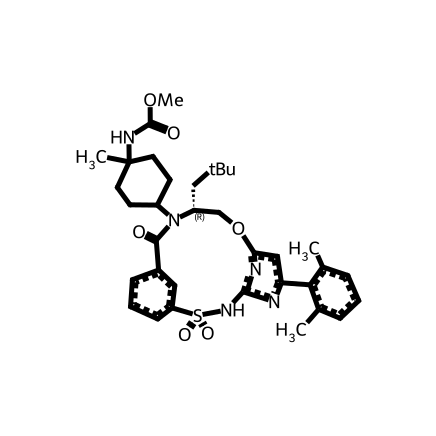 COC(=O)NC1(C)CCC(N2C(=O)c3cccc(c3)S(=O)(=O)Nc3nc(cc(-c4c(C)cccc4C)n3)OC[C@H]2CC(C)(C)C)CC1